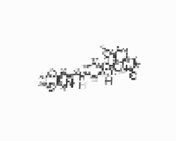 COc1cnc2ccc(=O)n3c2c1[C@](O)(CN1CCC(NCc2cc4c(cn2)OCCO4)CC1)C3